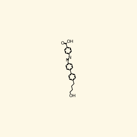 O=C(O)c1ccc(N=Nc2ccc(-c3ccc(CCCCO)cc3)cc2)cc1